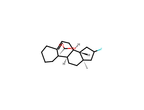 C[C@]12CC[C@@H]3[C@@H](CC=C4CCCC[C@@]43C(O)O)[C@@H]1CC(F)C2